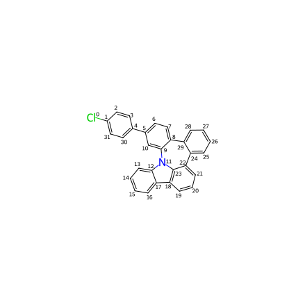 Clc1ccc(-c2ccc3c(c2)-n2c4ccccc4c4cccc(c42)-c2ccccc2-3)cc1